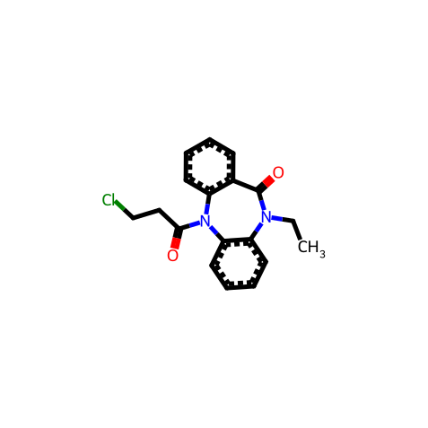 CCN1C(=O)c2ccccc2N(C(=O)CCCl)c2ccccc21